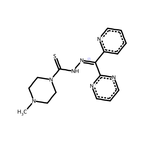 CN1CCN(C(=S)N/N=C(/c2ccccn2)c2ncccn2)CC1